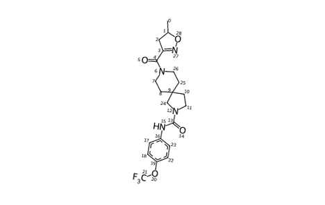 CC1CC(C(=O)N2CCC3(CCN(C(=O)Nc4ccc(OC(F)(F)F)cc4)C3)CC2)=NO1